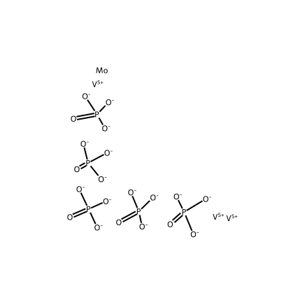 O=P([O-])([O-])[O-].O=P([O-])([O-])[O-].O=P([O-])([O-])[O-].O=P([O-])([O-])[O-].O=P([O-])([O-])[O-].[Mo].[V+5].[V+5].[V+5]